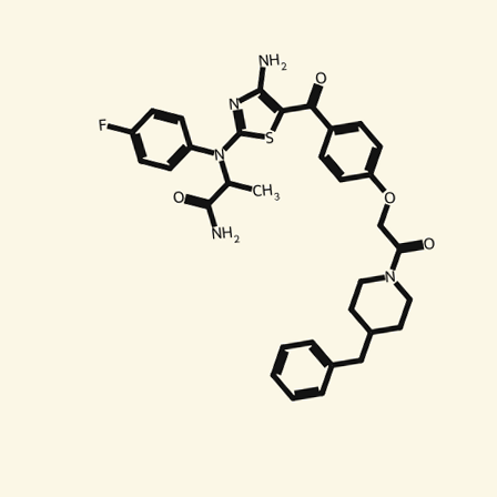 CC(C(N)=O)N(c1ccc(F)cc1)c1nc(N)c(C(=O)c2ccc(OCC(=O)N3CCC(Cc4ccccc4)CC3)cc2)s1